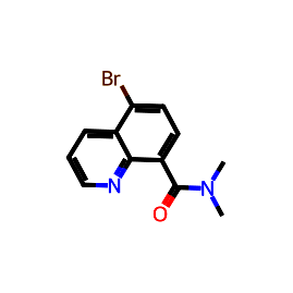 CN(C)C(=O)c1ccc(Br)c2cccnc12